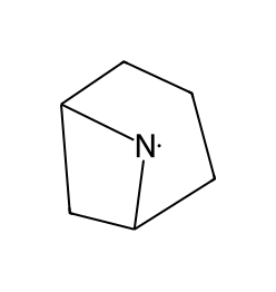 C1CC2CC(C1)[N]2